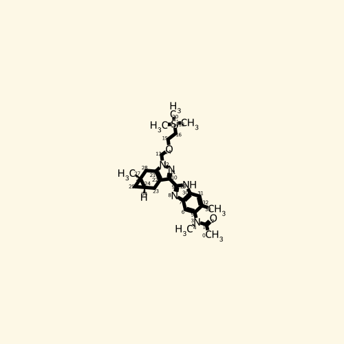 CC(=O)N(C)c1cc2nc(-c3nn(COCC[Si](C)(C)C)c4c3C[C@@H]3C[C@]3(C)C4)[nH]c2cc1C